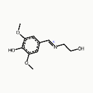 COc1cc(/C=N/CCO)cc(OC)c1O